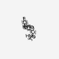 Cc1ccc(C(=O)NC2CC2)cc1-c1cc2cnn(-c3ccc(F)cc3)c2n(C)c1=O